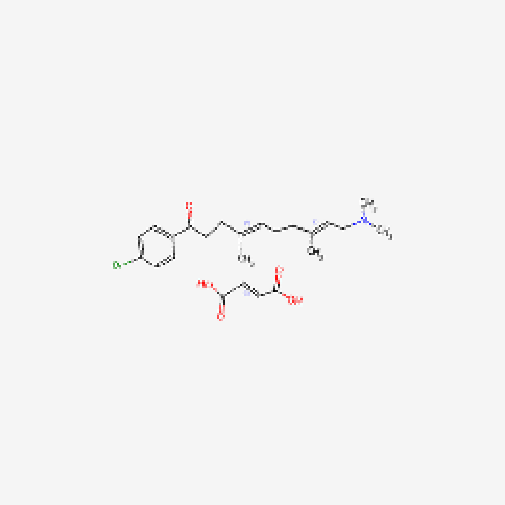 C/C(=C\CN(C)C)CC/C=C(\C)CCC(=O)c1ccc(Br)cc1.O=C(O)/C=C/C(=O)O